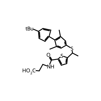 Cc1cc(SC(C)c2ccc(C(=O)NCCC(=O)O)s2)cc(C)c1-c1ccc(C(C)(C)C)cc1